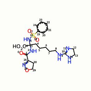 O=C(NC(CCCCCNC1=NCCN1)(NS(=O)(=O)c1ccccc1)C(=O)O)C1=NOCC1